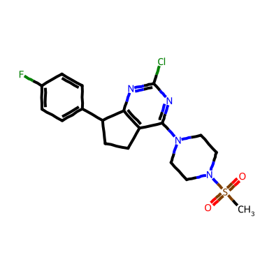 CS(=O)(=O)N1CCN(c2nc(Cl)nc3c2CCC3c2ccc(F)cc2)CC1